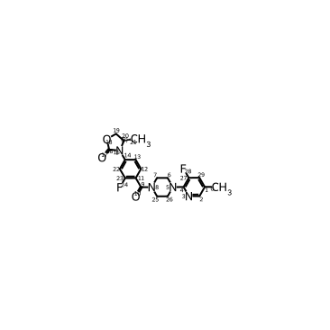 Cc1cnc(N2CCN(C(=O)c3ccc(N4C(=O)OC[C@H]4C)cc3F)CC2)c(F)c1